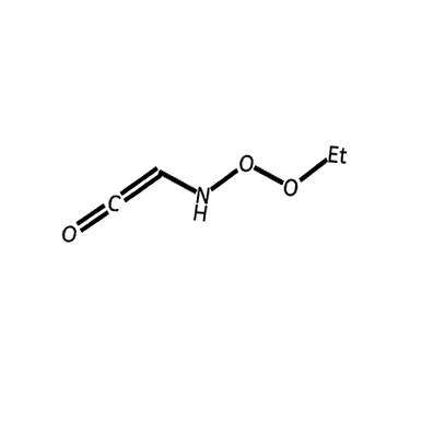 CCOONC=C=O